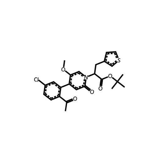 COc1cn(C(Cc2ccsc2)C(=O)OC(C)(C)C)c(=O)cc1-c1cc(Cl)ccc1C(C)=O